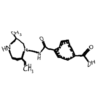 CC1CN(NC(=O)c2ccc(C(=O)O)cc2)C(C)CN1